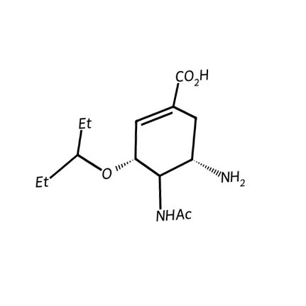 CCC(CC)O[C@@H]1C=C(C(=O)O)C[C@H](N)C1NC(C)=O